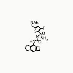 CNCc1cc(F)c(S(N)(=O)=NC(=O)Nc2c3c(cc4c2CC4)CCC3)s1